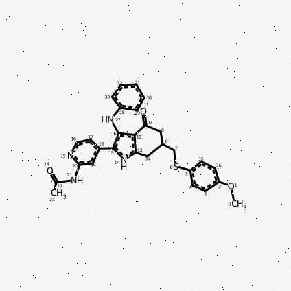 COc1ccc(SCC2CC(=O)c3c([nH]c(-c4ccnc(NC(C)=O)c4)c3Nc3ccccc3)C2)cc1